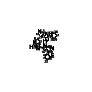 O=C(Nc1cncc(-c2cnc3[nH]nc(-c4cc5c(-c6ccccc6F)cncc5[nH]4)c3c2)c1)c1ccccc1